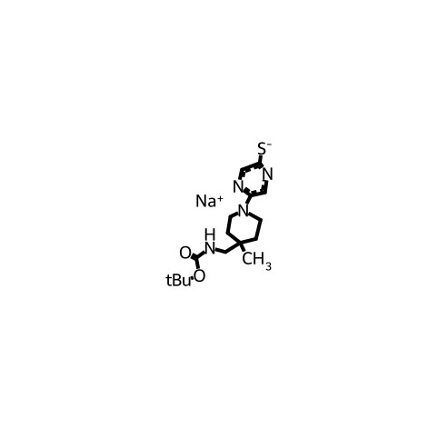 CC1(CNC(=O)OC(C)(C)C)CCN(c2cnc([S-])cn2)CC1.[Na+]